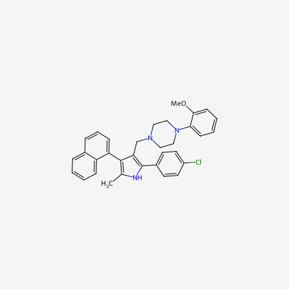 COc1ccccc1N1CCN(Cc2c(-c3ccc(Cl)cc3)[nH]c(C)c2-c2cccc3ccccc23)CC1